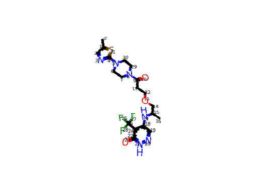 Cc1cnc(N2CCN(C(=O)CCOCC(C)Nc3cn[nH]c(=O)c3C(F)(F)F)CC2)s1